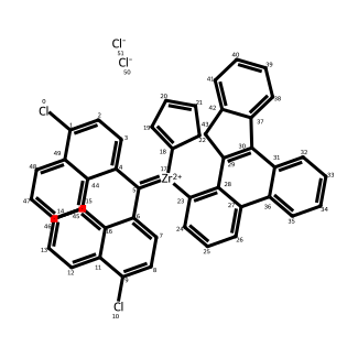 Clc1ccc([C](c2ccc(Cl)c3ccccc23)=[Zr+2]([C]2=CC=CC2)[c]2cccc3c2c2c(c4ccccc43)-c3ccccc3C2)c2ccccc12.[Cl-].[Cl-]